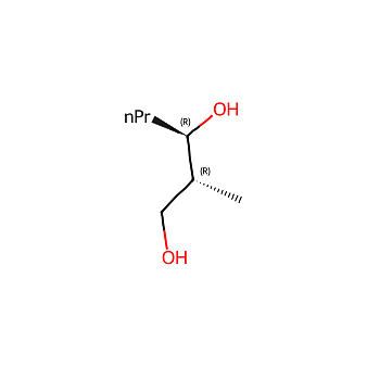 CCC[C@@H](O)[C@H](C)CO